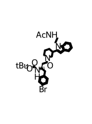 CC(=O)NCCn1c(C2CCCN(C(=O)C[C@@H](Cc3ccc(Br)cc3)NC(=O)OC(C)(C)C)C2)cc2ccccc21